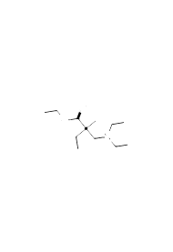 CCOC(=O)C(C)(CC)CN(CC)CC